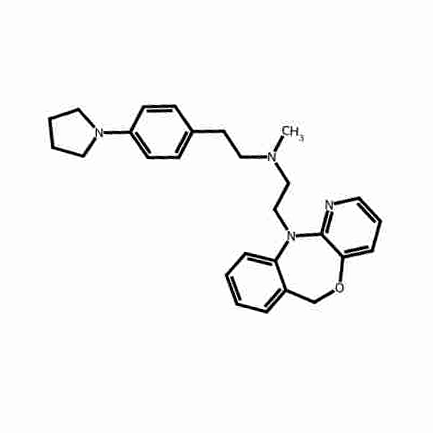 CN(CCc1ccc(N2CCCC2)cc1)CCN1c2ccccc2COc2cccnc21